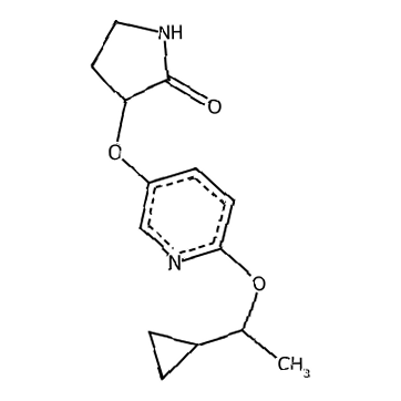 CC(Oc1ccc(OC2CCNC2=O)cn1)C1CC1